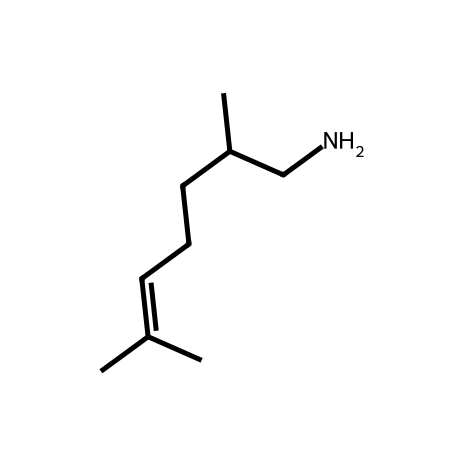 CC(C)=CCCC(C)CN